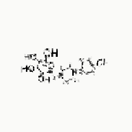 Oc1ccc(N2CCN(C[C@H]3O[C@H](O)[C@H](O)[C@@H](O)[C@H]3O)CC2)cc1